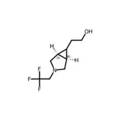 OCCC1[C@H]2CN(CC(F)(F)F)C[C@@H]12